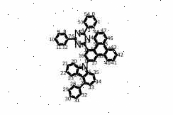 c1ccc(-c2nc(-c3ccccc3)nc(-c3cc(-n4c5ccccc5c5c(-c6ccccc6)cccc54)cc4c5ccccc5c5ccccc5c34)n2)cc1